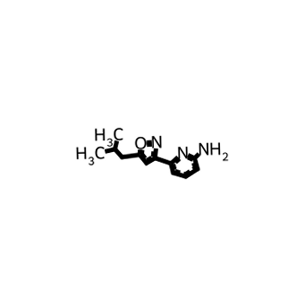 CC(C)Cc1cc(-c2cccc(N)n2)no1